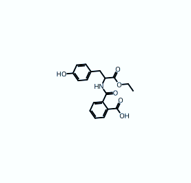 CCOC(=O)C(Cc1ccc(O)cc1)NC(=O)c1ccccc1C(=O)O